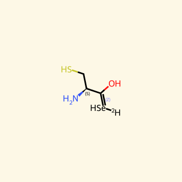 [2H]/[SeH]=C(\O)[C@@H](N)CS